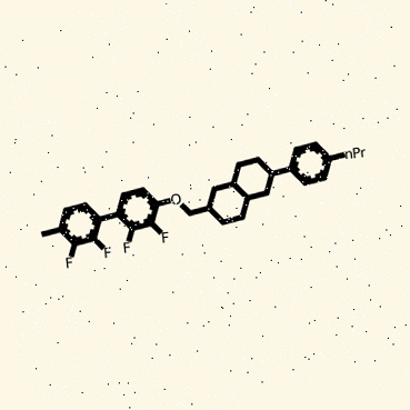 CCCc1ccc(C2CCC3CC(COc4ccc(-c5ccc(C)c(F)c5F)c(F)c4F)CCC3C2)cc1